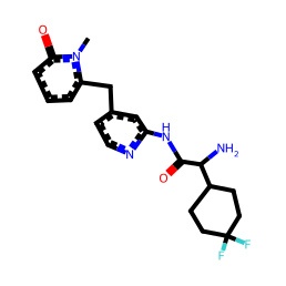 Cn1c(Cc2ccnc(NC(=O)C(N)C3CCC(F)(F)CC3)c2)cccc1=O